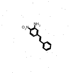 Nc1cc(C=Cc2ccccc2)ccc1[N+](=O)[O-]